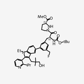 CCn1c(-c2cccnc2C(C)C)c(CC(C)(C)CO)c2cc(-c3cc(CF)cc(C[C@H](NC(=O)OC(C)(C)C)C(=O)N4CCC[C@@H](C(=O)OC)N4)c3)ccc21